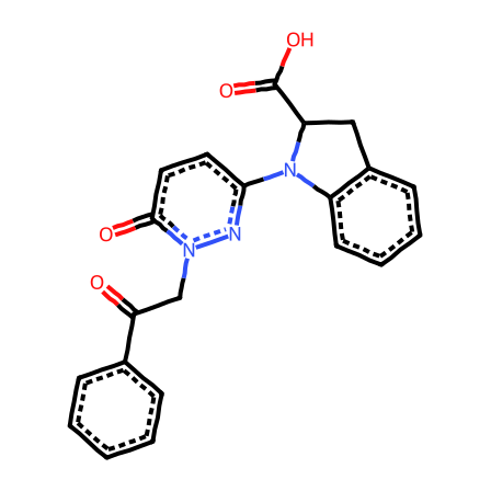 O=C(Cn1nc(N2c3ccccc3CC2C(=O)O)ccc1=O)c1ccccc1